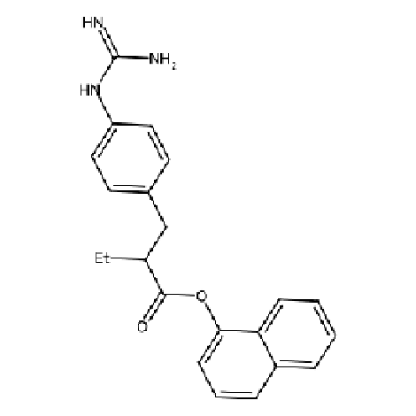 CCC(Cc1ccc(NC(=N)N)cc1)C(=O)Oc1cccc2ccccc12